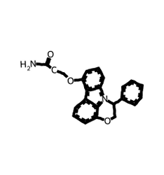 NC(=O)CCOc1cccc2c1c1cccc3c1n2C(c1ccccc1)CO3